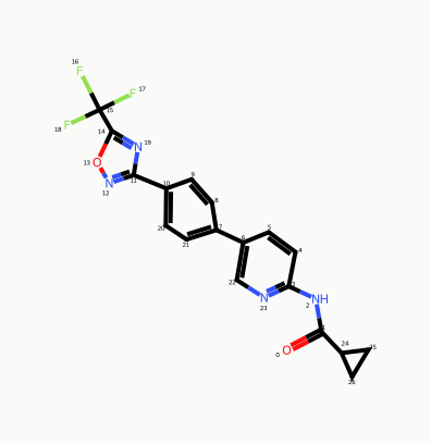 O=C(Nc1ccc(-c2ccc(-c3noc(C(F)(F)F)n3)cc2)cn1)C1CC1